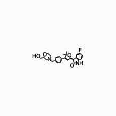 CC1(C)O/C(=C2/C(=O)Nc3ccc(F)cc32)C=C1c1ccc(CN2CCOC(CO)C2)cc1